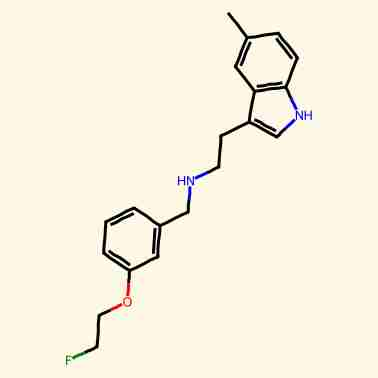 Cc1ccc2[nH]cc(CCNCc3cccc(OCCF)c3)c2c1